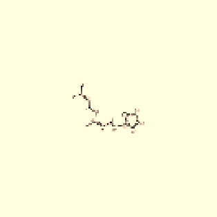 CC(C)=CCCC(C)=CC=Cc1ccco1